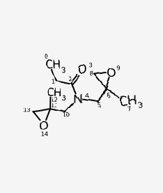 CCC(=O)N(CC1(C)CO1)CC1(C)CO1